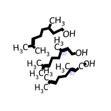 CC(C)=CCC/C(C)=C/CO.CC(C)=CCC/C(C)=C\CO.CC(C)=CCCC(C)CCO